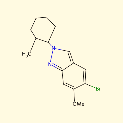 COc1cc2nn(C3CCCCC3C)cc2cc1Br